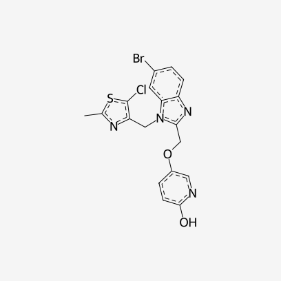 Cc1nc(Cn2c(COc3ccc(O)nc3)nc3ccc(Br)cc32)c(Cl)s1